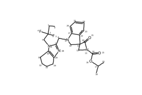 CCC(F)(F)Cn1c(CN2CC3(CN(C(=O)OC(C)C)C3=O)c3ccccc32)nc2c1CCCC2